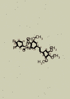 COc1cc(C=Cc2cc(OC)c(OC)c(OC)c2)cc(NS(=O)(=O)c2ccc(F)c(F)c2)c1OC